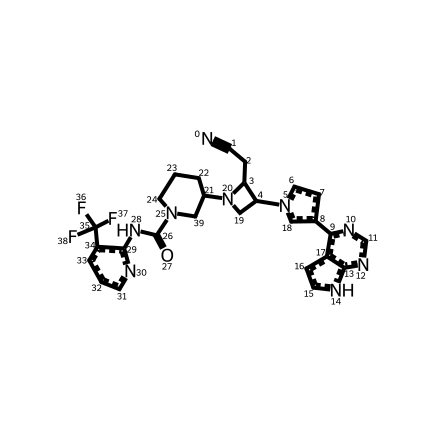 N#CCC1C(n2ccc(-c3ncnc4[nH]ccc34)c2)CN1C1CCCN(C(=O)Nc2ncccc2C(F)(F)F)C1